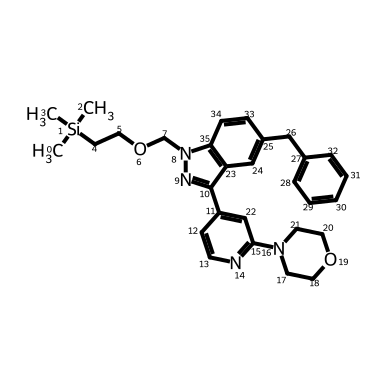 C[Si](C)(C)CCOCn1nc(-c2ccnc(N3CCOCC3)c2)c2cc(Cc3ccccc3)ccc21